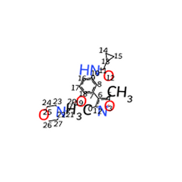 Cc1noc(C)c1-c1cc(NC(=O)C2CC2)ccc1OCCN1CCOCC1